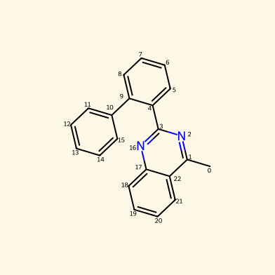 Cc1nc(-c2ccccc2-c2ccccc2)nc2ccccc12